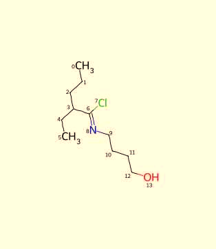 CCCC(CC)C(Cl)=NCCCCO